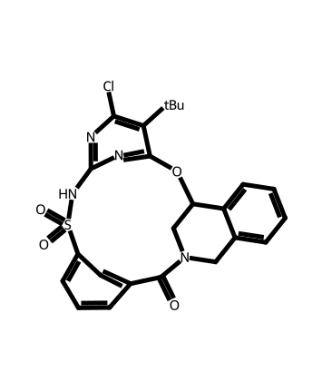 CC(C)(C)c1c(Cl)nc2nc1OC1CN(Cc3ccccc31)C(=O)c1cccc(c1)S(=O)(=O)N2